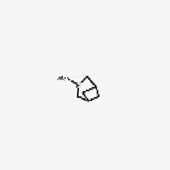 CNN1CC2CC(C2)C1